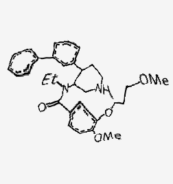 CCN(C(=O)c1ccc(OC)c(OCCCOC)c1)C1CNCCC1c1cccc(-c2ccccc2)c1